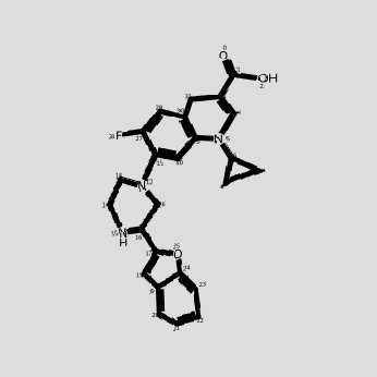 O=C(O)C1=CN(C2CC2)c2cc(N3CCNC(c4cc5ccccc5o4)C3)c(F)cc2C1